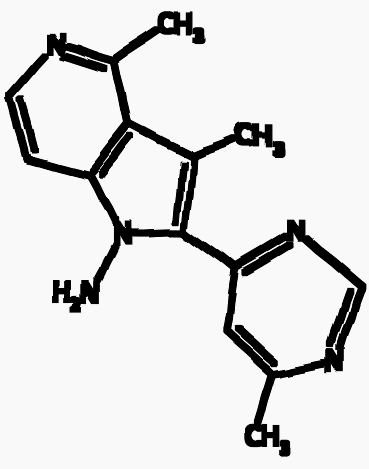 Cc1cc(-c2c(C)c3c(C)nccc3n2N)ncn1